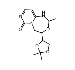 CC1Nc2ccnc(=O)n2C[C@H](C2COC(C)(C)O2)O1